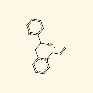 C=CC[n+]1ccccc1CC(N)c1ccccn1